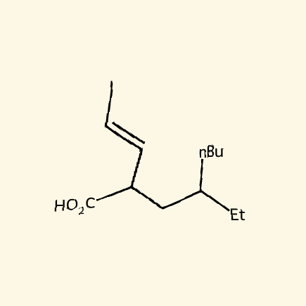 CC=CC(CC(CC)CCCC)C(=O)O